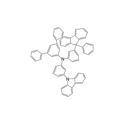 c1ccc(-c2cc(-c3ccccc3)cc(N(c3cccc(-n4c5ccccc5c5ccccc54)c3)c3cccc(C4(c5ccccc5)c5ccccc5-c5ccccc54)c3)c2)cc1